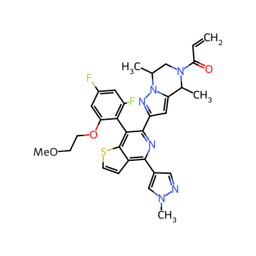 C=CC(=O)N1CC(C)n2nc(-c3nc(-c4cnn(C)c4)c4ccsc4c3-c3c(F)cc(F)cc3OCCOC)cc2C1C